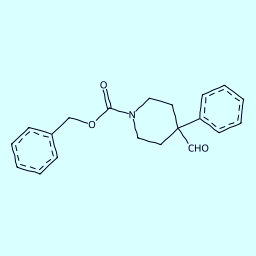 O=CC1(c2ccccc2)CCN(C(=O)OCc2ccccc2)CC1